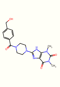 Cn1c(=O)c2nc(N3CCN(C(=O)c4ccc(CO)cc4)CC3)[nH]c2n(C)c1=O